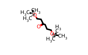 C[Si](C)(C)OCCCC(=O)CCO[Si](C)(C)C